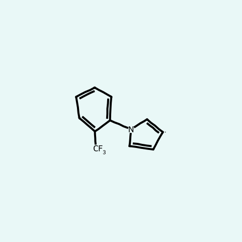 FC(F)(F)c1ccccc1-n1c[c]cc1